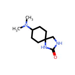 CN(C)C1CCC2(CC1)CNC(=O)N2